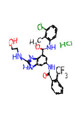 Cc1c(Cl)cccc1NC(=O)c1cc(NC(=O)c2ccccc2C(F)(F)F)cc2[nH]c(NCCO)nc12.Cl